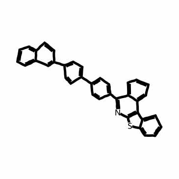 c1ccc2cc(-c3ccc(-c4ccc(-c5nc6sc7ccccc7c6c6ccccc56)cc4)cc3)ccc2c1